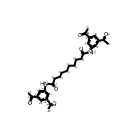 CC(=O)c1cc(NC(=O)CCCCCCCCC(=O)Nc2cc(C(C)=O)cc(C(C)=O)c2)cc(C(C)=O)c1